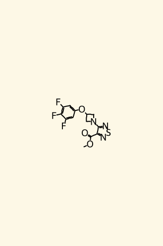 COC(=O)c1nsnc1N1CC(Oc2cc(F)c(F)c(F)c2)C1